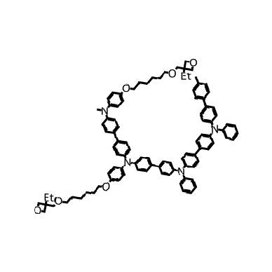 CCC1(COCCCCCCOc2ccc(N(C)c3ccc(-c4ccc(N(c5ccc(OCCCCCCOCC6(CC)COC6)cc5)c5ccc(-c6ccc(N(c7ccccc7)c7ccc(-c8ccc(N(c9ccccc9)c9ccc(-c%10ccc(C)cc%10)cc9)cc8)cc7)cc6)cc5)cc4)cc3)cc2)COC1